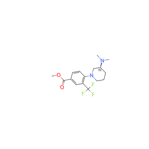 COC(=O)c1ccc(N2CCC[C@H](N(C)C)C2)c(C(F)(F)F)c1